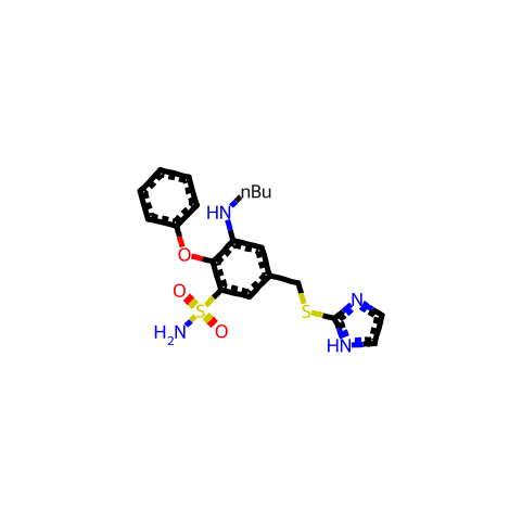 CCCCNc1cc(CSc2ncc[nH]2)cc(S(N)(=O)=O)c1Oc1ccccc1